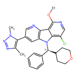 CCOc1ncc(Cl)c2c1c1ncc(-c3c(C)nnn3C)cc1n2[C@H](c1ccccc1)C1CCOCC1